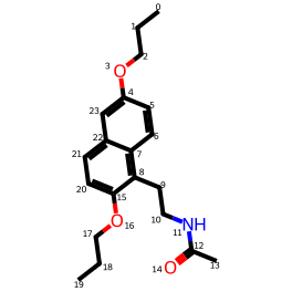 CCCOc1ccc2c(CCNC(C)=O)c(OCCC)ccc2c1